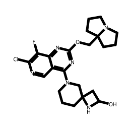 OC1CC2(CCCN(c3nc(OCC45CCCN4CCC5)nc4c(F)c(Cl)ncc34)C2)N1